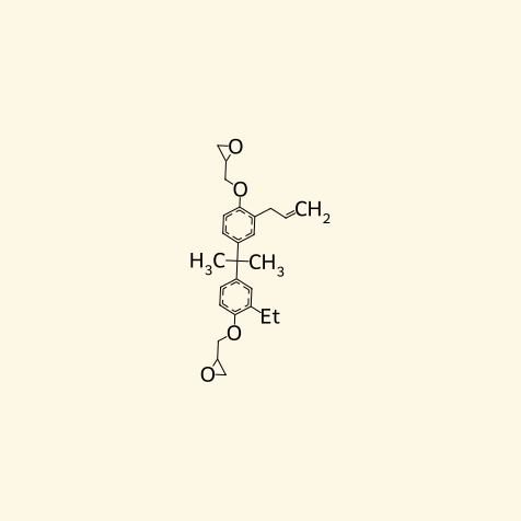 C=CCc1cc(C(C)(C)c2ccc(OCC3CO3)c(CC)c2)ccc1OCC1CO1